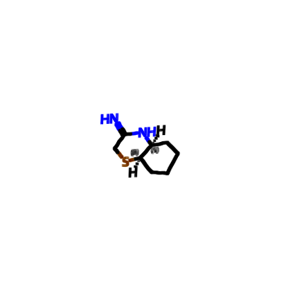 N=C1CS[C@@H]2CCCC[C@@H]2N1